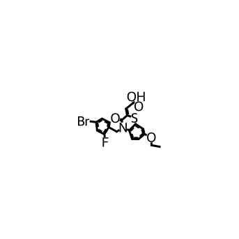 CCOc1ccc2c(c1)SC(=CC(=O)O)C(=O)N2Cc1ccc(Br)cc1F